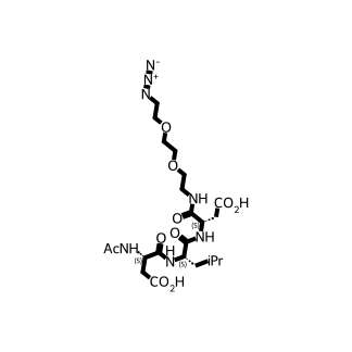 CC(=O)N[C@@H](CC(=O)O)C(=O)N[C@@H](CC(C)C)C(=O)N[C@@H](CC(=O)O)C(=O)NCCOCCOCCN=[N+]=[N-]